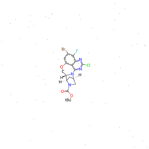 CC(C)(C)OC(=O)N1C[C@H]2C[C@@H]1[C@@H]1COc3cc(Br)c(F)c4nc(Cl)nc(c34)N21